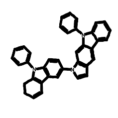 C1=Cc2c(n(-c3ccccc3)c3ccc(-n4ccc5cc6c7ccccc7n(-c7ccccc7)c6cc54)cc23)CC1